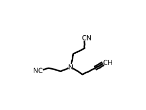 C#CCN(CCC#N)CCC#N